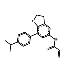 C=CC(=O)Nc1cc2c(c(-c3ccc(C(C)C)cc3)c1)OCC2